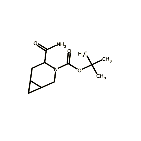 CC(C)(C)OC(=O)N1CC2CC2CC1C(N)=O